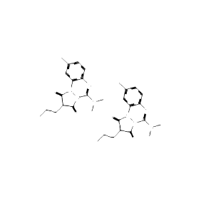 CCCC1C(=O)N2C(N(C)C)=Nc3ccc(C)cc3N2C1=O.CCCC1C(=O)N2C(N(C)C)=Nc3ccc(C)cc3N2C1=O